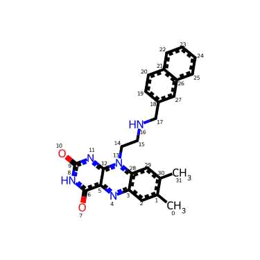 Cc1cc2nc3c(=O)[nH]c(=O)nc-3n(CCNCc3ccc4ccccc4c3)c2cc1C